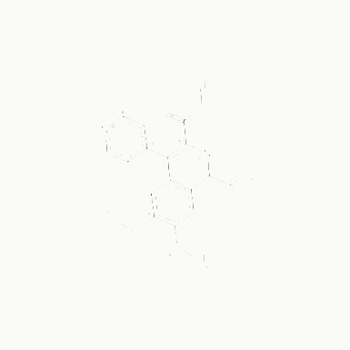 COC(=O)C1=C(c2ccncc2)c2cc(OC)c(OC)cc2C(C=O)N1